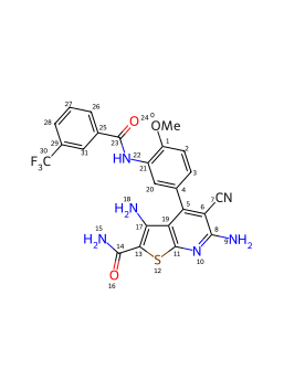 COc1ccc(-c2c(C#N)c(N)nc3sc(C(N)=O)c(N)c23)cc1NC(=O)c1cccc(C(F)(F)F)c1